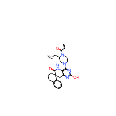 C=CC(=O)N1CCN(c2nc(O)nc3c2NC(=O)C2(CCCc4ccccc42)C3)CC1CC#N